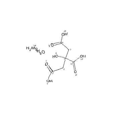 O.O=C(O)CC(O)(CC(=O)O)C(=O)O.[MgH2]